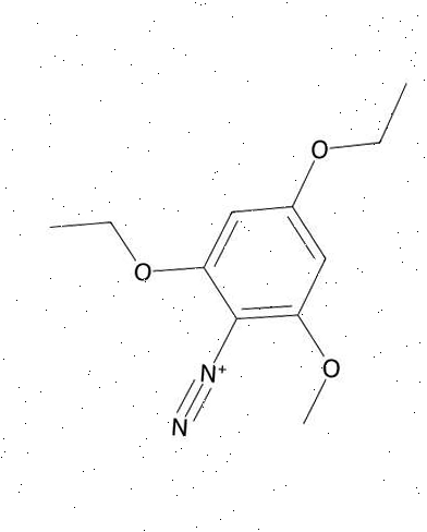 CCOc1cc(OC)c([N+]#N)c(OCC)c1